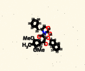 COc1cc(C(=O)[C@@H](OC2Cc3ccccc3C2)C(=O)N2C(=O)OC[C@H]2Cc2ccccc2)cc(OC)c1C